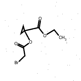 CCOC(=O)C1(OC(=O)CBr)CC1